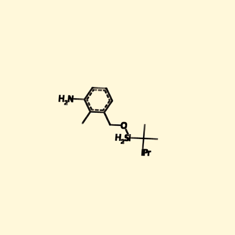 Cc1c(N)cccc1CO[SiH2]C(C)(C)C(C)C